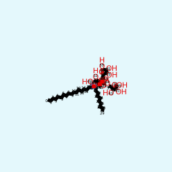 CCCCCCCCCCCCCCCCCC[N+](C)(CCCCCCCCCC)CCC[Si](OCC1OC(O)C(O)C1O)(OCC1OC(O)C(O)C1O)OCC1OC(O)C(O)C1O